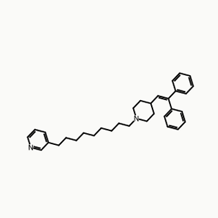 C(=C(c1ccccc1)c1ccccc1)C1CCN(CCCCCCCCCc2cccnc2)CC1